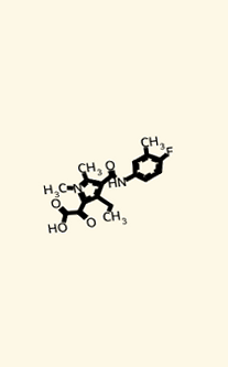 CCc1c(C(=O)Nc2ccc(F)c(C)c2)c(C)n(C)c1C(=O)C(=O)O